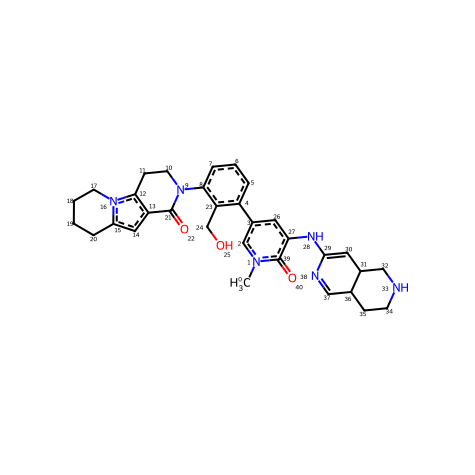 Cn1cc(-c2cccc(N3CCc4c(cc5n4CCCC5)C3=O)c2CO)cc(NC2=CC3CNCCC3C=N2)c1=O